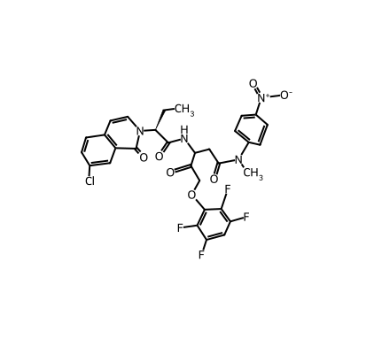 CC[C@@H](C(=O)NC(CC(=O)N(C)c1ccc([N+](=O)[O-])cc1)C(=O)COc1c(F)c(F)cc(F)c1F)n1ccc2ccc(Cl)cc2c1=O